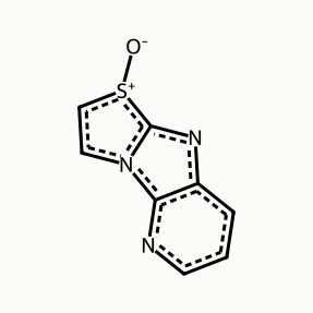 [O-][s+]1ccn2c3ncccc3nc21